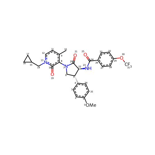 COc1ccc([C@@H]2CN(c3c(C)ccn(CC4CC4)c3=O)C(=O)[C@H]2NC(=O)c2ccc(OC(F)(F)F)cc2)cc1